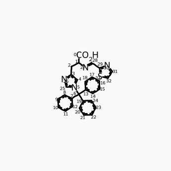 O=C(O)C(Cc1cn(C(c2ccccc2)(c2ccccc2)c2ccccc2)cn1)N=Cc1nccs1